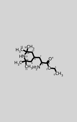 CCOC(=O)C(N)CC1CC(C)(C)NC(C)(C)C1